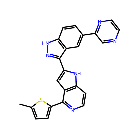 Cc1ccc(-c2nccc3[nH]c(-c4n[nH]c5ccc(-c6cnccn6)cc45)cc23)s1